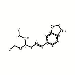 CCOC(CN=Cc1ccc2c(c1)OCO2)OCC